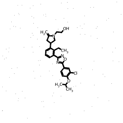 C=C1CC(c2cccc(-c3noc(-c4ccc(OC(C)C)c(Cl)c4)n3)c2CC)CN1CCO